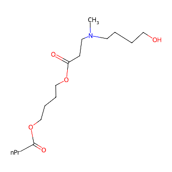 CCCC(=O)OCCCCOC(=O)CCN(C)CCCCO